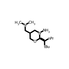 CCC/C(=C1/OCC(CN(C)C)CN1N)C(C)(C)C